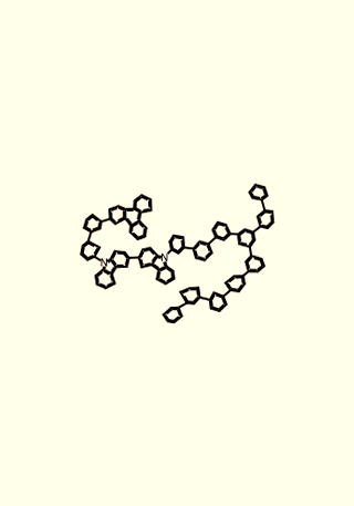 c1ccc(-c2cccc(-c3cccc(-c4ccc(-c5cccc(-c6cc(-c7cccc(-c8ccccc8)c7)cc(-c7cccc(-c8cccc(-c9cccc(-n%10c%11ccccc%11c%11cc(-c%12ccc%13c(c%12)c%12ccccc%12n%13-c%12cccc(-c%13cccc(-c%14ccc%15c%16ccccc%16c%16ccccc%16c%15c%14)c%13)c%12)ccc%11%10)c9)c8)c7)c6)c5)cc4)c3)c2)cc1